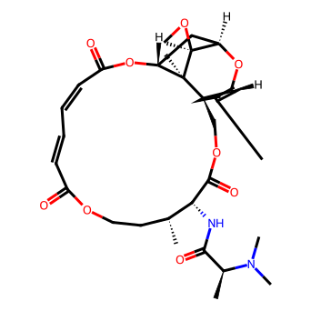 CC1=C[C@H]2O[C@@H]3C[C@H]4OC(=O)/C=C\C=C\C(=O)OCC[C@@H](C)[C@@H](NC(=O)[C@H](C)N(C)C)C(=O)OC[C@@]2(CC1)[C@]4(C)[C@]31CO1